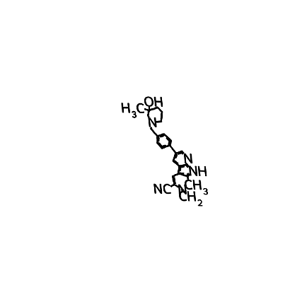 C=N/C(C#N)=C\c1c(C)[nH]c2ncc(-c3ccc(CN4CCCC(C)(O)C4)cc3)cc12